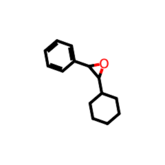 c1ccc(C2OC2C2CCCCC2)cc1